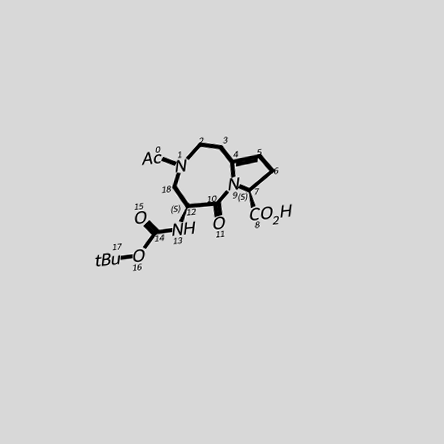 CC(=O)N1CCC2=CC[C@@H](C(=O)O)N2C(=O)[C@@H](NC(=O)OC(C)(C)C)C1